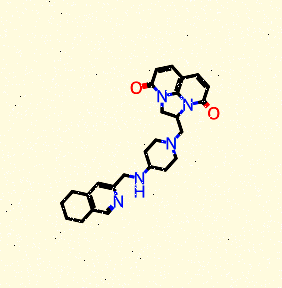 O=c1ccc2ccc(=O)n3c2n1CC3CN1CCC(NCc2cc3c(cn2)CCCC3)CC1